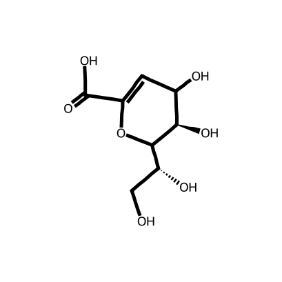 O=C(O)C1=CC(O)[C@@H](O)C([C@H](O)CO)O1